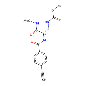 C#Cc1ccc(C(=O)N[C@@H](CNC(=O)OC(C)(C)C)C(=O)NOC)cc1